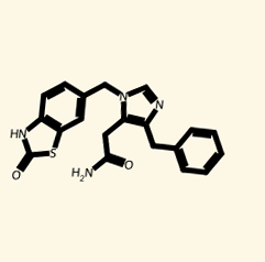 NC(=O)Cc1c(Cc2ccccc2)ncn1Cc1ccc2[nH]c(=O)sc2c1